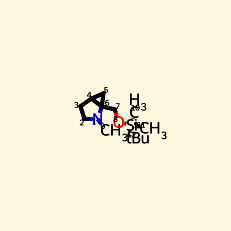 CN1CCC2CC21CO[Si](C)(C)C(C)(C)C